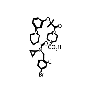 CC(C)(Oc1cccc(N2CCC[C@@H](C(=O)N(Cc3ccc(Br)cc3Cl)C3CC3)C2)c1)C(=O)N1CCN(C(=O)O)CC1